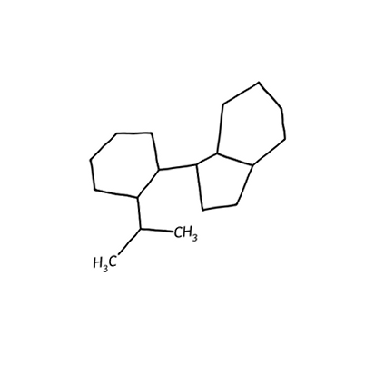 CC(C)C1CCCCC1C1CCC2CCCCC21